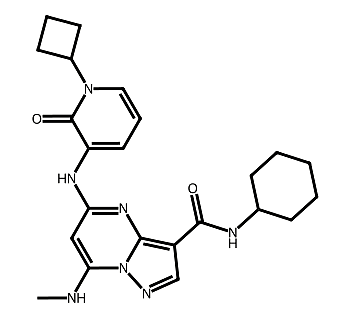 CNc1cc(Nc2cccn(C3CCC3)c2=O)nc2c(C(=O)NC3CCCCC3)cnn12